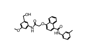 COc1cc(CO)cc(NC(=O)COc2ccc(C(=O)Nc3cccc(C)c3)c3ccccc23)c1